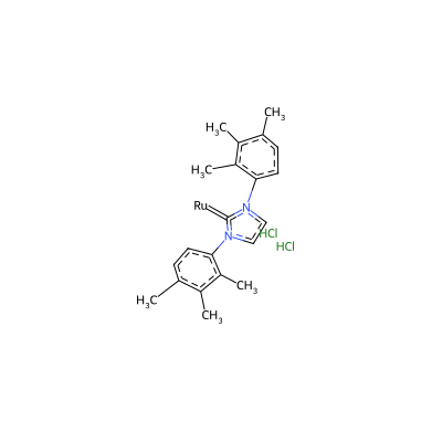 Cc1ccc(-n2ccn(-c3ccc(C)c(C)c3C)[c]2=[Ru])c(C)c1C.Cl.Cl